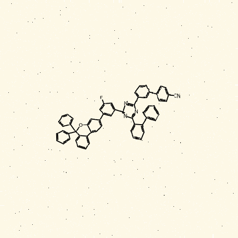 N#Cc1ccc(-c2cccc(-c3nc(-c4cc(F)cc(-c5ccc6c(c5)OC(c5ccccc5)(c5ccccc5)c5ccccc5-6)c4)nc(-c4ccccc4-c4ccccc4)n3)c2)cc1